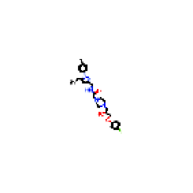 Cc1ccc(-n2nc(CNC(=O)CN3CCN(CC(O)COc4ccc(F)cc4)CC3)cc2CC(C)C)cc1